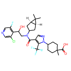 CC1(C(=O)O)CCC(n2ncc(C(=O)N(CC(O)c3c(F)cncc3Cl)C3C[C@@H]4[C@H](C3)C4(C)C)c2C(F)(F)F)CC1